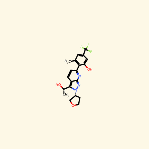 Cc1cc(C(F)(F)F)cc(O)c1-c1ccc2c([C@@H](C)O)n([C@@H]3CCOC3)nc2n1